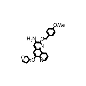 COc1ccc(COc2nc3c(cc2N)cc(O[C@@H]2CCOC2)c2ncccc23)cc1